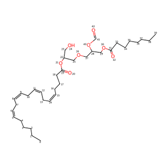 CCCCC/C=C\C/C=C\C/C=C\C/C=C\CCCC(=O)OC(CO)COCC(COC(=O)CCCCCCC)OC=O